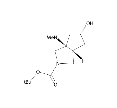 CN[C@@]12C[C@H](O)C[C@@H]1CN(C(=O)OC(C)(C)C)C2